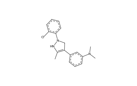 CC1=C(c2cccc(N(C)C)c2)CN(c2ccccc2Cl)N1